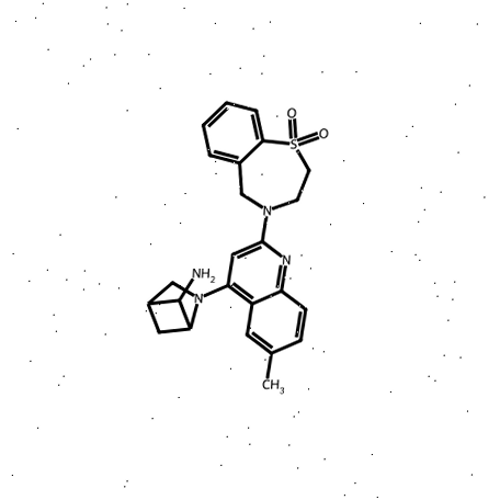 Cc1ccc2nc(N3CCS(=O)(=O)c4ccccc4C3)cc(N3CC4CC3C4N)c2c1